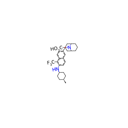 C[C@H]1CC[C@@H](Nc2ccc3cc(CN4C5CCCC4CC(C(=O)O)C5)ccc3c2C(F)(F)F)CC1